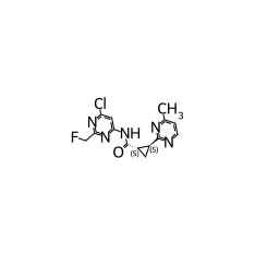 Cc1ccnc([C@H]2C[C@@H]2C(=O)Nc2cc(Cl)nc(CF)n2)n1